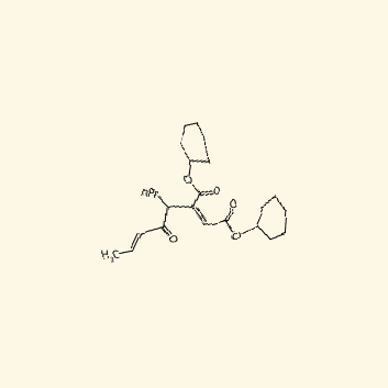 CC=CC(=O)C(CCC)/C(=C/C(=O)OC1CCCCC1)C(=O)OC1CCCCC1